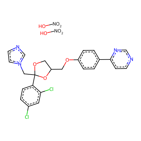 Clc1ccc(C2(Cn3ccnc3)OCC(COc3ccc(-c4ccncn4)cc3)O2)c(Cl)c1.O=[N+]([O-])O.O=[N+]([O-])O